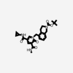 CNC(=O)c1cc(C(=O)NC2CC2)cn(Cc2cccc3c2CCN(C(=O)OC(C)(C)C)C3)c1=O